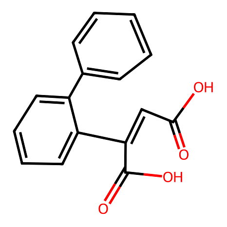 O=C(O)C=C(C(=O)O)c1ccccc1-c1ccccc1